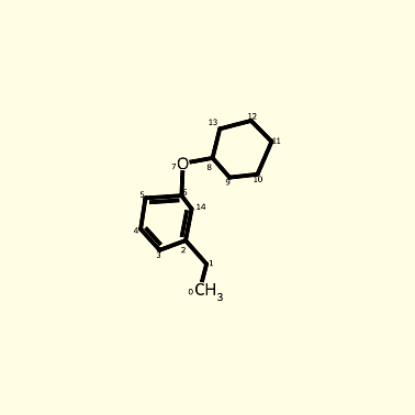 CCc1cccc(OC2CCCCC2)c1